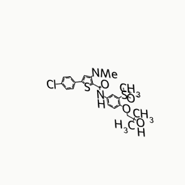 CNc1cc(-c2ccc(Cl)cc2)sc1C(=O)Nc1ccc(OCC(C)(C)O)c([S+](C)[O-])c1